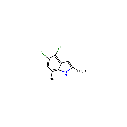 CCOC(=O)c1cc2c(Cl)c(F)cc([N+](=O)[O-])c2[nH]1